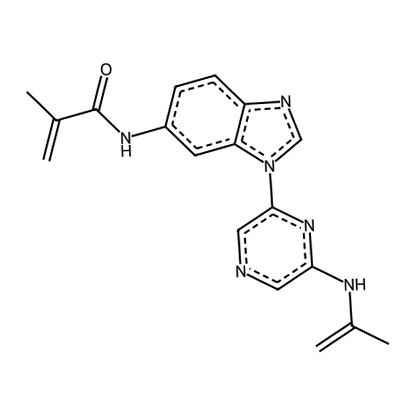 C=C(C)Nc1cncc(-n2cnc3ccc(NC(=O)C(=C)C)cc32)n1